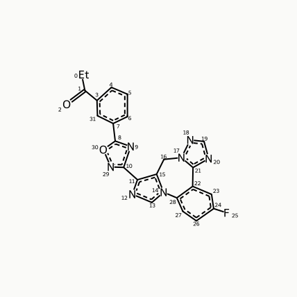 CCC(=O)c1cccc(-c2nc(-c3ncn4c3Cn3ncnc3-c3cc(F)ccc3-4)no2)c1